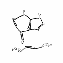 O=C(O)/C=C/C(=O)O.O=c1cc[nH]c2[nH]ncc12